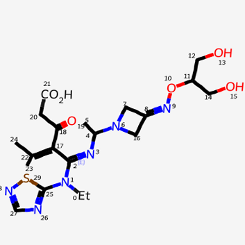 CCN(/C(=N/C(C)N1CC(=NOC(CO)CO)C1)C(C(=O)CC(=O)O)=C(C)C)c1ncns1